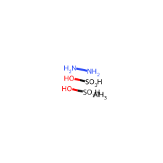 NN.O=S(=O)(O)O.O=S(=O)(O)O.[AlH3]